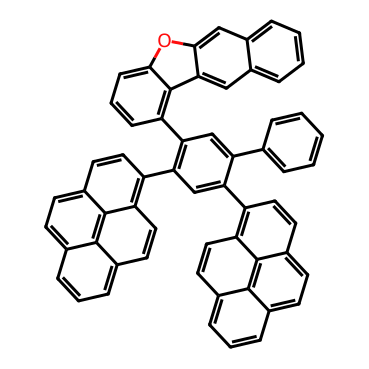 c1ccc(-c2cc(-c3cccc4oc5cc6ccccc6cc5c34)c(-c3ccc4ccc5cccc6ccc3c4c56)cc2-c2ccc3ccc4cccc5ccc2c3c45)cc1